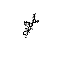 COc1cccc(S(=O)(=O)NC(=O)c2ccc(-c3cc(F)cc(OCC(C)C)c3)nc2N2CCC(C)C2(C)C)n1